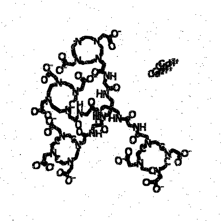 O=C([O-])CN1CC[N]CCN(CC(=O)[O-])CCN(CC(=O)NCC(=O)NCC(CNC(=O)CNC(=O)CN2CCN(CC(=O)[O-])CCN(CC(=O)[O-])CCN(CC(=O)[O-])CC2)(CNC(=O)CNC(=O)CN2CCN(CC(=O)[O-])CCN(CC(=O)[O-])CCN(CC(=O)[O-])CC2)CNC(=O)CNC(=O)CN2CCN(CC(=O)[O-])CCN(CC(=O)[O-])CCN(CC(=O)[O-])CC2)CC1.[Gd+3].[Gd+3].[Gd+3].[Gd+3]